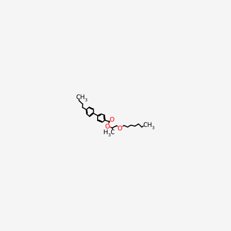 CCCCCCCOCC(C)OC(=O)c1ccc(-c2ccc(CCCC)cc2)cc1